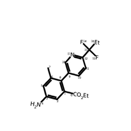 CCOC(=O)c1cc(N)cc(C)c1-c1ccc(C(F)(F)CC)nc1